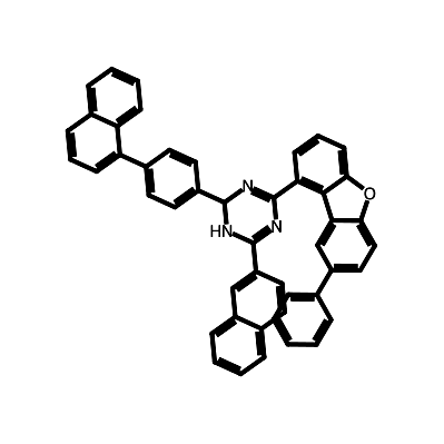 c1ccc(-c2ccc3oc4cccc(C5=NC(c6ccc(-c7cccc8ccccc78)cc6)NC(c6ccc7ccccc7c6)=N5)c4c3c2)cc1